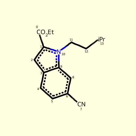 CCOC(=O)c1cc2ccc(C#N)cc2n1CCC(C)C